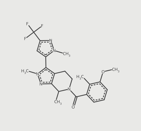 COc1cccc(C(=O)N2CCc3c(nn(C)c3-c3cc(C(F)(F)F)nn3C)C2C)c1C